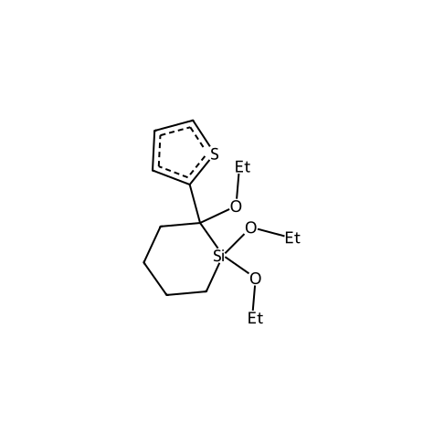 CCOC1(c2cccs2)CCCC[Si]1(OCC)OCC